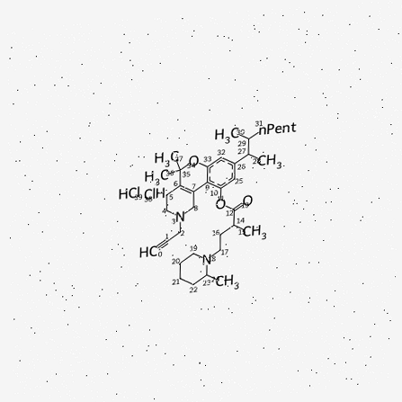 C#CCN1CCC2=C(C1)c1c(OC(=O)C(C)CCN3CCCCC3C)cc(C(C)C(C)CCCCC)cc1OC2(C)C.Cl.Cl